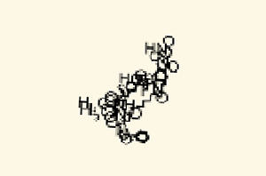 CC(C)(C)C(NC(=O)c1cc2cc(C(F)(F)P(=O)(O)O)ccc2s1)C(=O)N1C[C@H](OCCCCCC(=O)N2Cc3cc4c(cc3C2)C(=O)N(C2CCC(=O)NC2=O)C4)C[C@H]1C(=O)N1CCO[C@H](c2ccccc2)C1